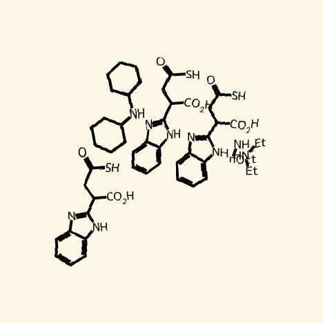 C1CCC(NC2CCCCC2)CC1.CCCCCCCCN.CCNCC.O=C(S)CC(C(=O)O)c1nc2ccccc2[nH]1.O=C(S)CC(C(=O)O)c1nc2ccccc2[nH]1.O=C(S)CC(C(=O)O)c1nc2ccccc2[nH]1